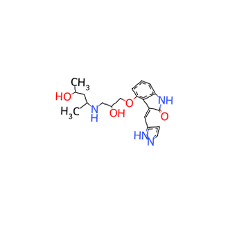 CC(O)CC(C)NCC(O)COc1cccc2c1/C(=C/c1ccn[nH]1)C(=O)N2